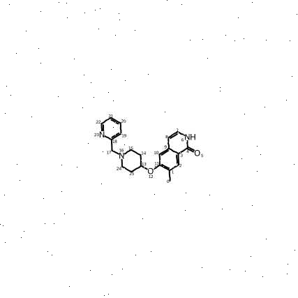 Cc1cc2c(=O)[nH]ccc2cc1OC1CCN(Cc2ccccn2)CC1